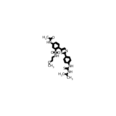 COCCNS(=O)(=O)c1cc(NC(C)=O)ccc1-c1cnc(-c2ccc(NC(=S)NC(C)C)cc2)s1